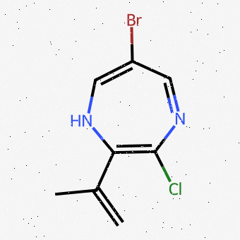 C=C(C)C1=C(Cl)N=CC(Br)=CN1